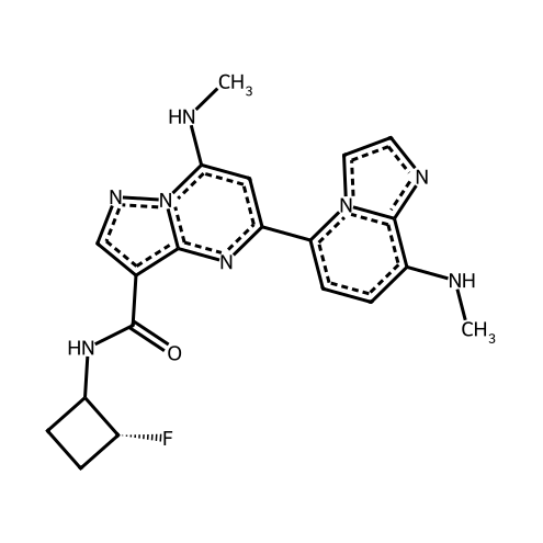 CNc1ccc(-c2cc(NC)n3ncc(C(=O)NC4CC[C@H]4F)c3n2)n2ccnc12